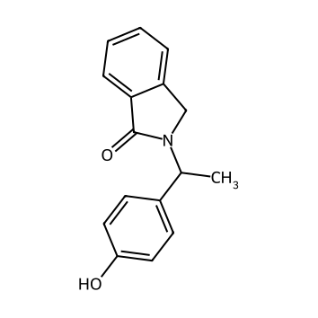 CC(c1ccc(O)cc1)N1Cc2ccccc2C1=O